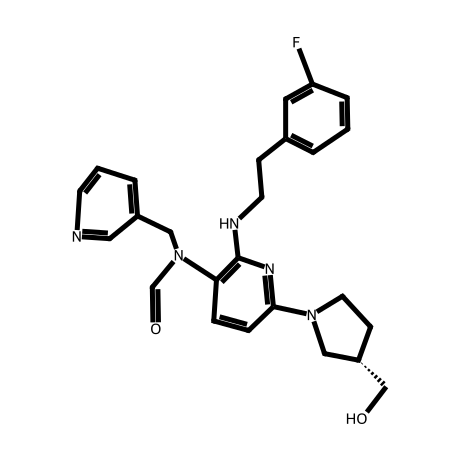 O=CN(Cc1cccnc1)c1ccc(N2CC[C@H](CO)C2)nc1NCCc1cccc(F)c1